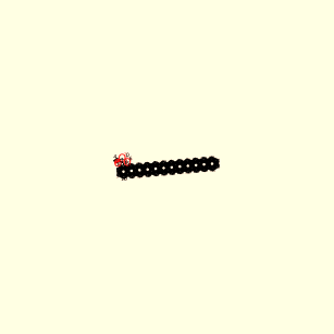 CO[Si](OC)(OC)C1CCCC2CC3CC4CC5CC6CC7CC8CC9CC%10CC%11CC%12CCCCC%12CC%11CC%10CC9CC8CC7CC6CC5CC4CC3CC21